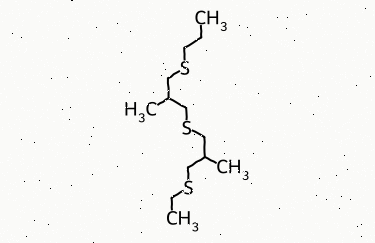 CCCSCC(C)CSCC(C)CSCC